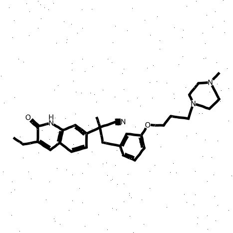 CCc1cc2ccc(C(C)(C#N)Cc3cccc(OCCCN4CCN(C)CC4)c3)cc2[nH]c1=O